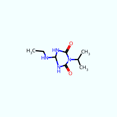 CCNC1NC(=O)N(C(C)C)C(=O)N1